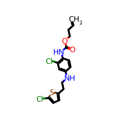 C=CCCOC(=O)Nc1ccc(NCCc2ccc(Cl)s2)cc1Cl